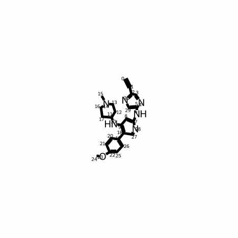 C#Cc1cnc(Nc2cc(NC3CCN(C)CC3)c(-c3ccc(OC)cc3)cn2)cn1